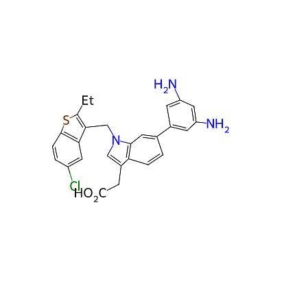 CCc1sc2ccc(Cl)cc2c1Cn1cc(CC(=O)O)c2ccc(-c3cc(N)cc(N)c3)cc21